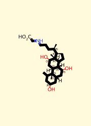 CC1C[C@@H](O)C[C@H]2C[C@@H](O)[C@@H]3[C@H](C[C@H](O)[C@]4(C)[C@@H]([C@H](C)CCCNCC(=O)O)CC[C@@H]34)[C@@]12C